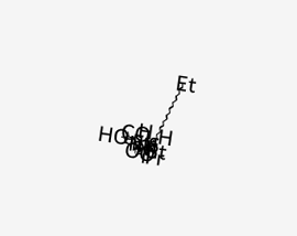 CCC=CCC=CCC=CCC=CCC=CCCCCSC(CC)(CC)C(=O)N[C@@H](CC(C)C)C(=O)Nc1ccc(O)c(C(=O)O)c1